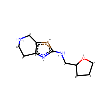 C1COC(CNc2nc3c(s2)CNCC3)C1